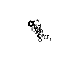 CC(C)c1cccc(C(C)C)c1NC(=O)NS(=O)(=O)C1CC(=O)N1CC(F)(F)F